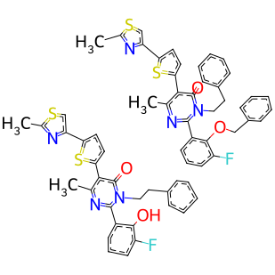 Cc1nc(-c2ccc(-c3c(C)nc(-c4cccc(F)c4O)n(CCc4ccccc4)c3=O)s2)cs1.Cc1nc(-c2ccc(-c3c(C)nc(-c4cccc(F)c4OCc4ccccc4)n(CCc4ccccc4)c3=O)s2)cs1